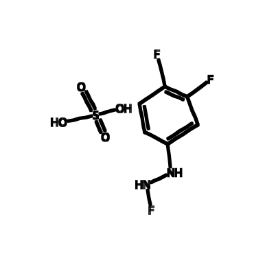 FNNc1ccc(F)c(F)c1.O=S(=O)(O)O